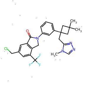 Cn1cnnc1CC1(c2cccc(N3Cc4c(cc(CCl)cc4C(F)(F)F)C3=O)c2)CC(C)(C)C1